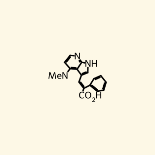 CNc1ccnc2[nH]cc(C=C(C(=O)O)c3ccccc3)c12